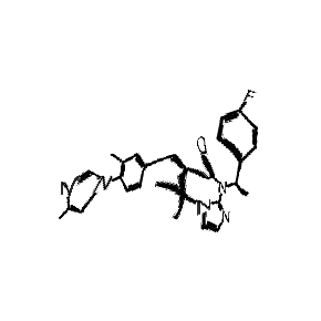 Cc1cn(-c2ccc(/C=C3/C(=O)N(C(C)c4ccc(F)cc4)c4nccn4C3(C)C)cc2C)cn1